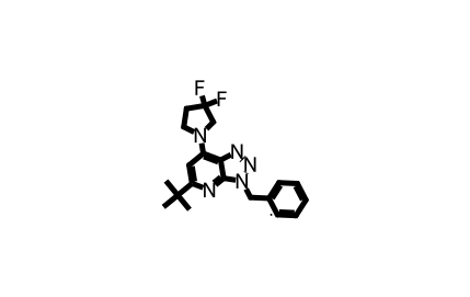 CC(C)(C)c1cc(N2CCC(F)(F)C2)c2nnn(Cc3[c]cccc3)c2n1